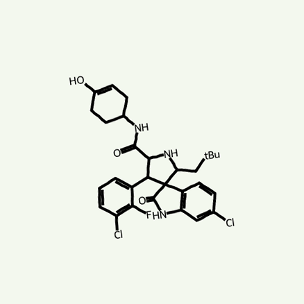 CC(C)(C)CC1NC(C(=O)NC2CC=C(O)CC2)C(c2cccc(Cl)c2F)C12C(=O)Nc1cc(Cl)ccc12